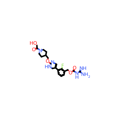 N=C(N)NC(=O)OCc1cccc(C2=CN=C(OCC3CCN(C(=O)CO)CC3)NC2)c1F